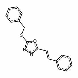 C(=C\c1nnc(SCc2ccccc2)o1)/c1ccccc1